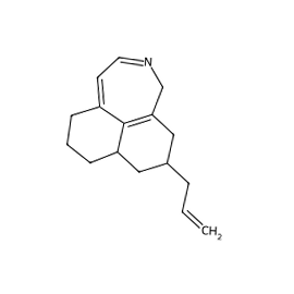 C=CCC1CC2=C3C(=CC=NC2)CCCC3C1